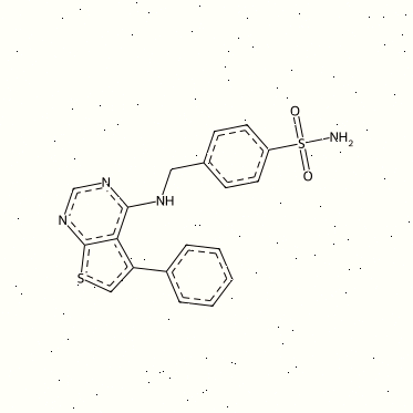 NS(=O)(=O)c1ccc(CNc2ncnc3scc(-c4ccccc4)c23)cc1